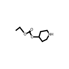 CCOC(=O)OC1CCNCC1